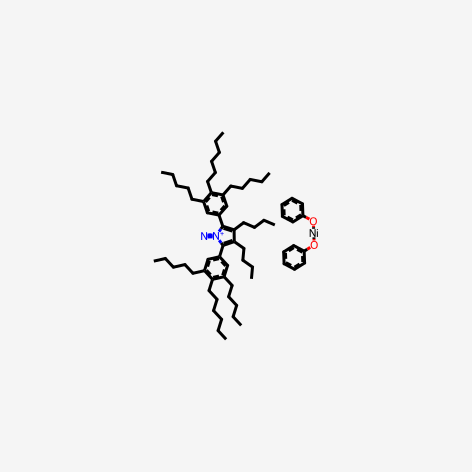 CCCCCCc1c(CCCCC)cc(C2=C(CCCC)C(CCCC)=C(c3cc(CCCCC)c(CCCCCC)c(CCCCC)c3)[N+]2=[N-])cc1CCCCC.c1ccc([O][Ni][O]c2ccccc2)cc1